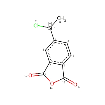 C[SiH](Cl)c1ccc2c(c1)C(=O)OC2=O